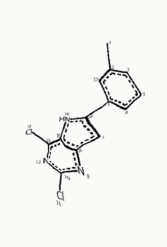 Cc1cccc(-c2cc3nc(Cl)nc(Cl)c3[nH]2)c1